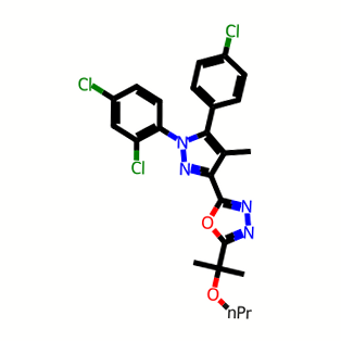 CCCOC(C)(C)c1nnc(-c2nn(-c3ccc(Cl)cc3Cl)c(-c3ccc(Cl)cc3)c2C)o1